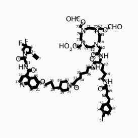 C#C[C@H]1CC(F)(F)CN1C(=O)CNC(=O)c1ccnc2ccc(OCCCC3CCN(C(=O)CCCCCNC(=O)[C@H](CCCCNC(=O)CCCc4ccc(I)cc4)NC(=O)CN4CCN(COC=O)CCN(COC=O)CCN(CC(=O)O)CC4)CC3)cc12